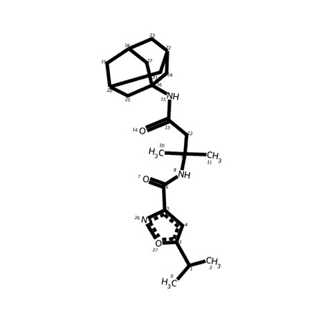 CC(C)c1cc(C(=O)NC(C)(C)CC(=O)NC23CC4CC(CC(C4)C2)C3)no1